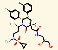 C[C@@H](CCN(C)S(=O)(=O)C1CC1)N1C(=O)[C@@](C)(CC(=O)NC[C@H](O)CO)C[C@H](c2cccc(Cl)c2)[C@H]1c1ccc(Cl)cc1